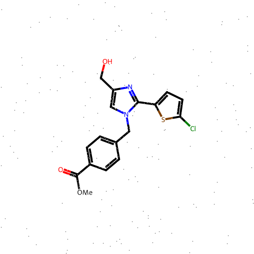 COC(=O)c1ccc(Cn2cc(CO)nc2-c2ccc(Cl)s2)cc1